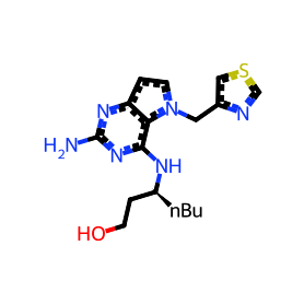 CCCC[C@@H](CCO)Nc1nc(N)nc2ccn(Cc3cscn3)c12